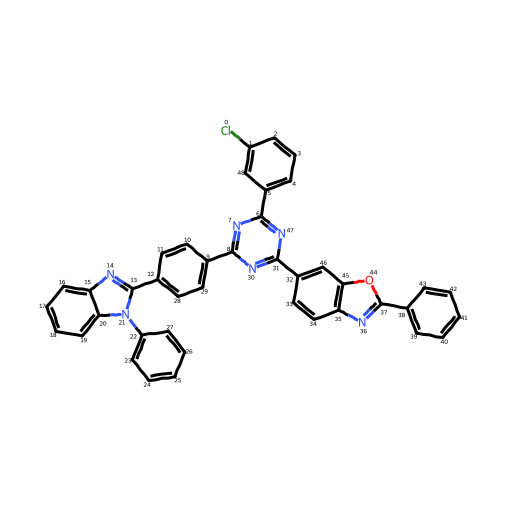 Clc1cccc(-c2nc(-c3ccc(-c4nc5ccccc5n4-c4ccccc4)cc3)nc(-c3ccc4nc(-c5ccccc5)oc4c3)n2)c1